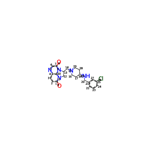 O=c1ccc2ncc(=O)n3c2n1CC3CN1CCC(NCc2cccc(Cl)c2)CC1